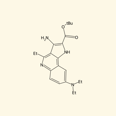 CCc1nc2ccc(N(CC)CC)cc2c2[nH]c(C(=O)OC(C)(C)C)c(N)c12